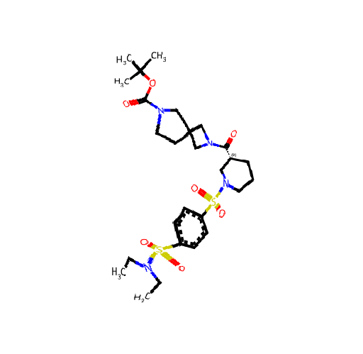 CCN(CC)S(=O)(=O)c1ccc(S(=O)(=O)N2CCC[C@@H](C(=O)N3CC4(CCN(C(=O)OC(C)(C)C)C4)C3)C2)cc1